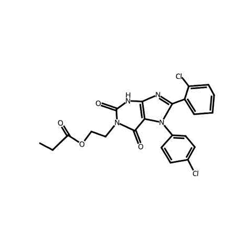 CCC(=O)OCCn1c(=O)[nH]c2nc(-c3ccccc3Cl)n(-c3ccc(Cl)cc3)c2c1=O